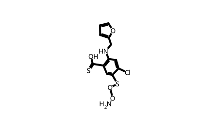 NOOSc1cc(C(O)=S)c(NCc2ccco2)cc1Cl